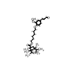 COc1cc(/C=C/C=O)ccc1OCCCCCCOC(=O)C(C)(CC(C)(C)C(C)C)C(C)(C)C(C)C